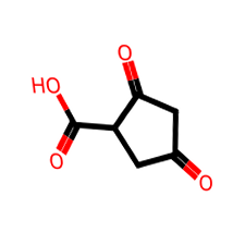 O=C1CC(=O)C(C(=O)O)C1